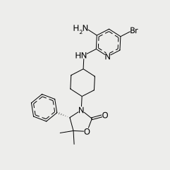 CC1(C)OC(=O)N(C2CCC(Nc3ncc(Br)cc3N)CC2)[C@H]1c1ccccc1